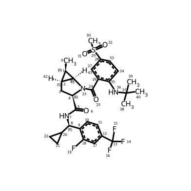 C[C@@H]1[C@@H]2C[C@H](C(=O)N[C@@H](c3ccc(C(F)(F)F)cc3F)C3CC3)N(C(=O)c3cc(S(C)(=O)=O)ccc3NC(C)(C)C)[C@H]12